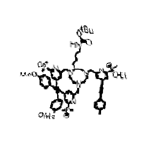 CCOP(C)(=O)c1cc(C#Cc2ccc(C)cc2)cc(CN2CCN(Cc3cc(C#Cc4ccc(OC)cc4)cc(P(C)(C)=O)n3)CCN(Cc3cc(C#Cc4ccc(OC)cc4)cc(P(C)(C)=O)n3)[C@@H](CCCCNC(=O)OC(C)(C)C)C2)n1